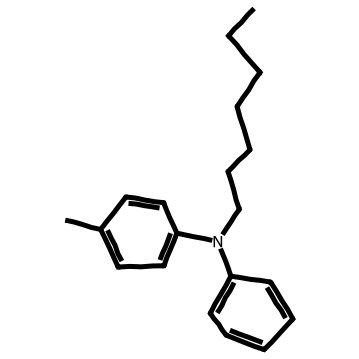 CCCCCCCN(c1ccccc1)c1ccc(C)cc1